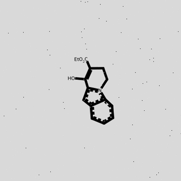 CCOC(=O)C1=C(O)c2cc3ccccc3n2CC1